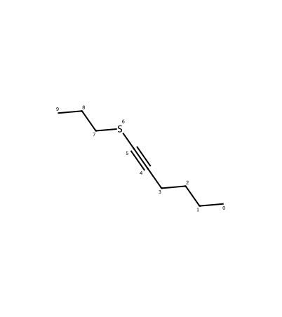 CCCCC#CSCCC